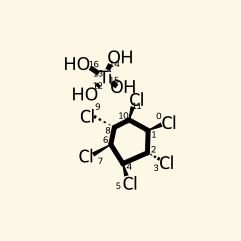 Cl[C@H]1[C@H](Cl)[C@@H](Cl)[C@@H](Cl)[C@H](Cl)[C@H]1Cl.[OH][Ti]([OH])([OH])[OH]